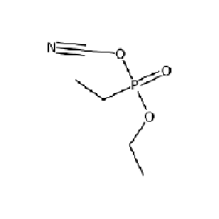 CCOP(=O)(CC)OC#N